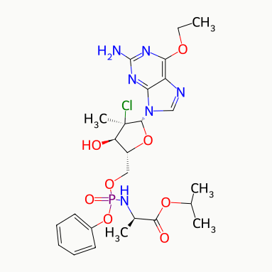 CCOc1nc(N)nc2c1ncn2[C@@H]1O[C@H](COP(=O)(N[C@H](C)C(=O)OC(C)C)Oc2ccccc2)[C@@H](O)[C@@]1(C)Cl